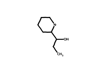 CCC(O)C1CCCC[N]1